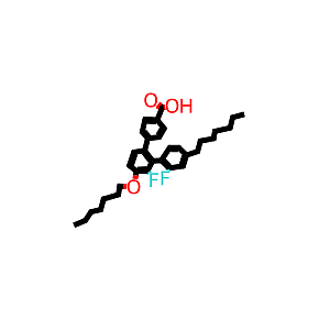 CCCCCCCOc1ccc(-c2ccc(C(=O)O)cc2)c(-c2ccc(CCCCCCC)cc2F)c1F